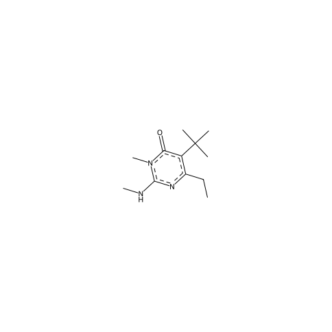 CCc1nc(NC)n(C)c(=O)c1C(C)(C)C